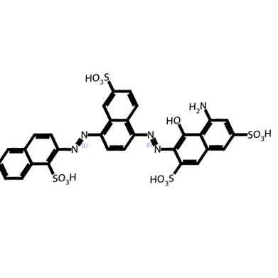 Nc1cc(S(=O)(=O)O)cc2cc(S(=O)(=O)O)c(/N=N/c3ccc(/N=N/c4ccc5ccccc5c4S(=O)(=O)O)c4cc(S(=O)(=O)O)ccc34)c(O)c12